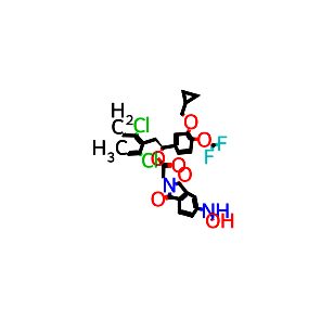 C=C/C(Cl)=C(C[C@H](OC(=O)CN1C(=O)c2ccc(NO)cc2C1=O)c1ccc(OC(F)F)c(OCC2CC2)c1)\C(Cl)=C/C